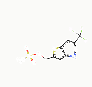 CS(=O)(=O)OCc1cc2ncc(C(F)(F)F)cc2s1